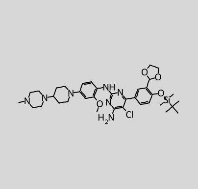 COc1cc(N2CCC(N3CCN(C)CC3)CC2)ccc1Nc1nc(N)c(Cl)c(-c2ccc(O[Si](C)(C)C(C)(C)C)c(C3OCCO3)c2)n1